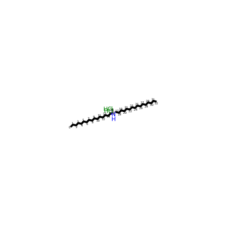 CCCCCCCCCCCCCCCCNCCCCCCCCCCCCCCCC.Cl.Cl